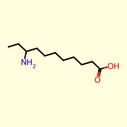 CCC(N)CCCCCCCC(=O)O